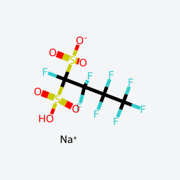 O=S(=O)([O-])C(F)(C(F)(F)C(F)(F)C(F)(F)F)S(=O)(=O)O.[Na+]